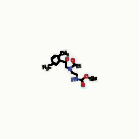 CCC(=O)N(CCNC(=O)OC(C)(C)C)CC(=O)c1cc(C)ccc1C